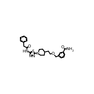 NC(=O)c1cccc(COCCC2CCN(c3nnc(NC(=O)Cc4ccccc4)s3)CC2)c1